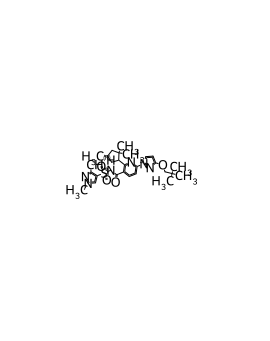 Cc1nn(C)cc1S(=O)(=O)NC(=O)c1ccc(-n2ccc(OCC(C)(C)C)n2)nc1C1C[C@@H](C)CC1(C)C